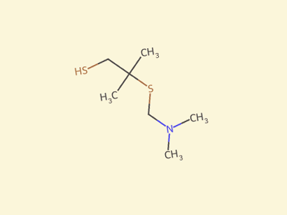 CN(C)CSC(C)(C)CS